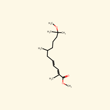 COC(=O)/C(C)=C/C=C/CC(C)CCCC(C)(C)OC